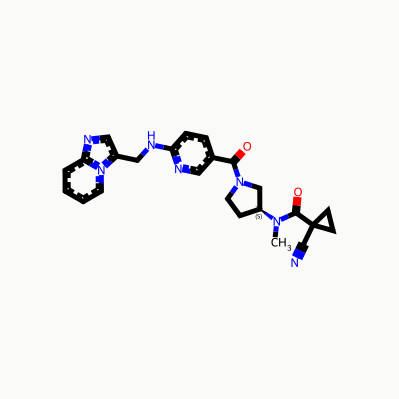 CN(C(=O)C1(C#N)CC1)[C@H]1CCN(C(=O)c2ccc(NCc3cnc4ccccn34)nc2)C1